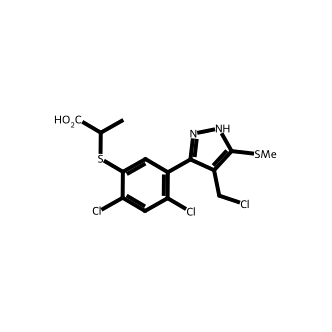 CSc1[nH]nc(-c2cc(SC(C)C(=O)O)c(Cl)cc2Cl)c1CCl